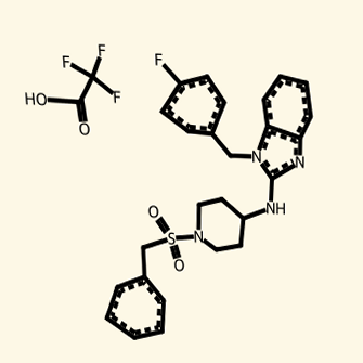 O=C(O)C(F)(F)F.O=S(=O)(Cc1ccccc1)N1CCC(Nc2nc3ccccc3n2Cc2ccc(F)cc2)CC1